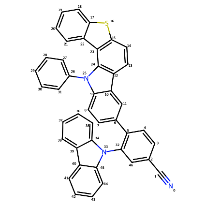 N#Cc1ccc(-c2ccc3c(c2)c2ccc4sc5ccccc5c4c2n3-c2ccccc2)c(-n2c3ccccc3c3ccccc32)c1